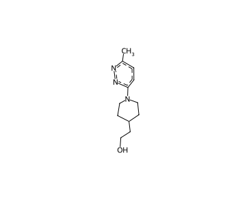 Cc1ccc(N2CCC(CCO)CC2)nn1